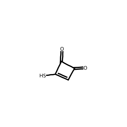 O=c1cc(S)c1=O